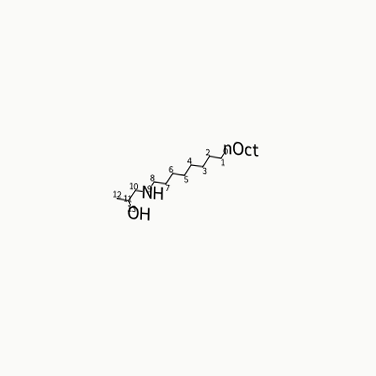 CCCCCCCCCCCCCCCCNCC(C)O